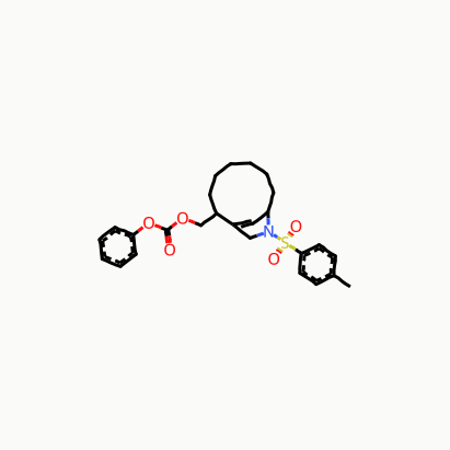 Cc1ccc(S(=O)(=O)N2CC3=CC2CCCCCCC3COC(=O)Oc2ccccc2)cc1